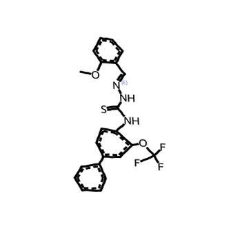 COc1ccccc1/C=N/NC(=S)Nc1ccc(-c2ccccc2)cc1OC(F)(F)F